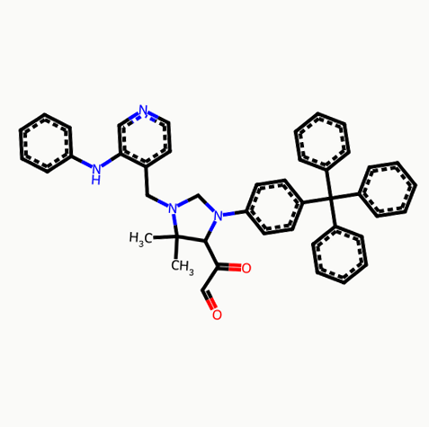 CC1(C)C(C(=O)C=O)N(c2ccc(C(c3ccccc3)(c3ccccc3)c3ccccc3)cc2)CN1Cc1ccncc1Nc1ccccc1